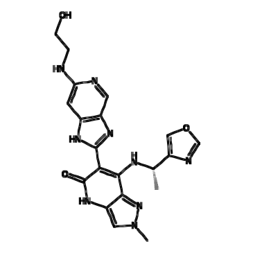 C[C@H](Nc1c(-c2nc3cnc(NCCO)cc3[nH]2)c(=O)[nH]c2cn(C)nc12)c1cocn1